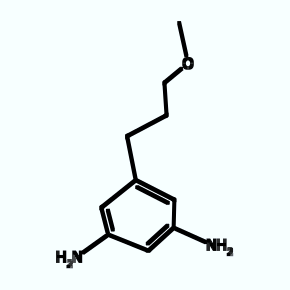 COCCCc1cc(N)cc(N)c1